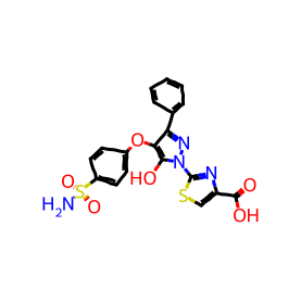 NS(=O)(=O)c1ccc(Oc2c(-c3ccccc3)nn(-c3nc(C(=O)O)cs3)c2O)cc1